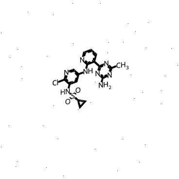 Cc1nc(N)nc(-c2cccnc2Nc2cnc(Cl)c(NS(=O)(=O)C3CC3)c2)n1